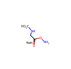 NOC(=O)CNC(=O)O.[NaH]